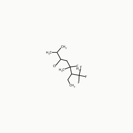 CCC(C(F)(F)F)C(C)(C)CC(Cl)C(C)C